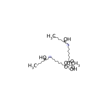 CCCCCC[C@@H](O)C/C=C\CCCCCCCC(=O)OC(CO)C(OC(=O)CCCCCCC/C=C\C[C@H](O)CCCCCC)C(C)=O